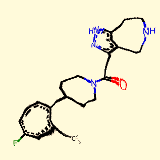 O=C(c1n[nH]c2c1CNCC2)N1CCC(c2ccc(F)cc2C(F)(F)F)CC1